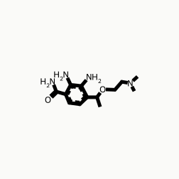 CC(OCCN(C)C)c1ccc(C(N)=O)c(N)c1N